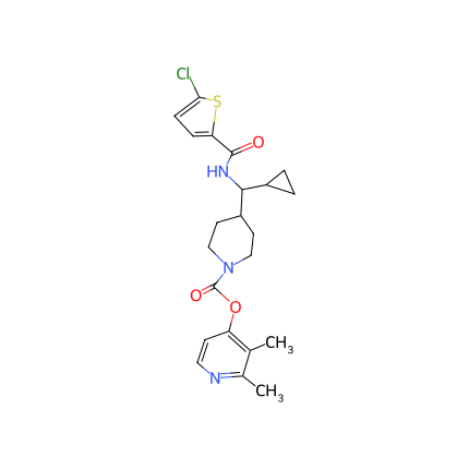 Cc1nccc(OC(=O)N2CCC(C(NC(=O)c3ccc(Cl)s3)C3CC3)CC2)c1C